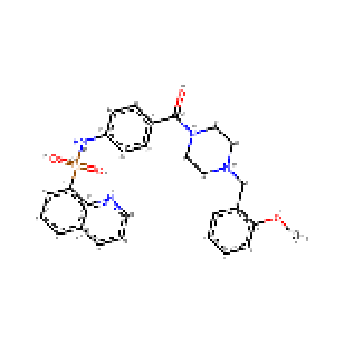 COc1ccccc1CN1CCN(C(=O)c2ccc(NS(=O)(=O)c3cccc4cccnc34)cc2)CC1